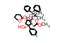 COC(=O)C[C@H]1[C@H](CO[Si](c2ccccc2)(c2ccccc2)C(C)(C)C)[C@@H](OC2CCCCO2)C[C@]1(CO)c1ccc(F)cc1